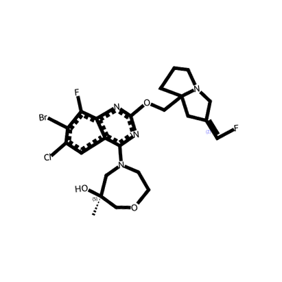 C[C@@]1(O)COCCN(c2nc(OCC34CCCN3C/C(=C\F)C4)nc3c(F)c(Br)c(Cl)cc23)C1